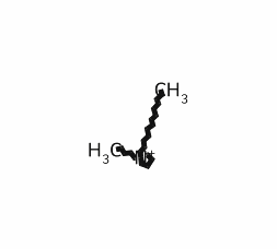 CCCCCCCCCCCCC[N+]1(CCCCC)CCCC1